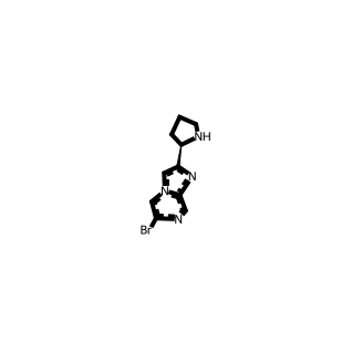 Brc1cn2cc([C@H]3CCCN3)nc2cn1